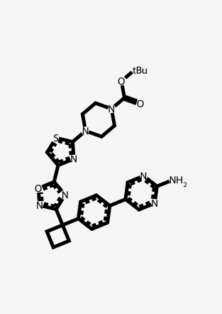 CC(C)(C)OC(=O)N1CCN(c2nc(-c3nc(C4(c5ccc(-c6cnc(N)nc6)cc5)CCC4)no3)cs2)CC1